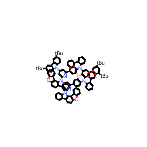 CC(C)(C)c1cc(-c2cc3c4c(c2)N(c2ccccc2-c2ccccc2)c2ccc(-c5cc(-n6c7ccc(C(C)(C)C)cc7c7cc(C(C)(C)C)ccc76)cc(-n6c7ccccc7c7ccc8oc9ccccc9c8c76)n5)cc2B4c2cc(-c4cccc(-n5c6ccccc6c6ccc7oc8ccccc8c7c65)n4)ccc2N3c2ccccc2-c2ccccc2)cc(C(C)(C)C)c1